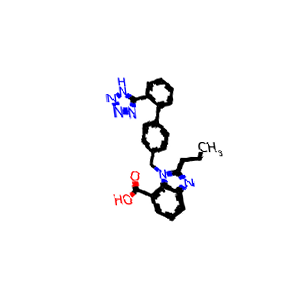 CCCc1nc2cccc(C(=O)O)c2n1Cc1ccc(-c2ccccc2-c2nnn[nH]2)cc1